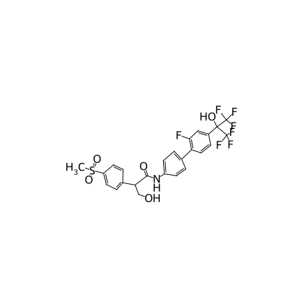 CS(=O)(=O)c1ccc(C(CO)C(=O)Nc2ccc(-c3ccc(C(O)(C(F)(F)F)C(F)(F)F)cc3F)cc2)cc1